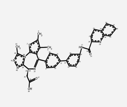 Cc1sc2c(c1C)C(c1ccc(-c3cccc(NC(=O)c4ccc5ccccc5n4)c3)cc1)=N[C@@H](CC(=O)O)c1nnc(C)n1-2